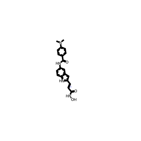 CN(C)c1ccc(C(=O)Nc2ccc3[nH]c(/C=C/C(=O)NO)cc3c2)cc1